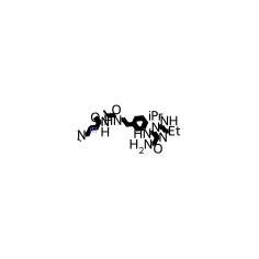 CCc1nc(C(N)=O)c(Nc2cccc(CCNC(=O)[C@H](C)NC(=O)/C=C/CN(C)C)c2)nc1NC(C)C